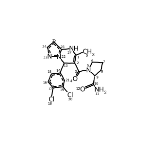 CC1=C(C(=O)N2CCC[C@H]2C(N)=O)C(c2ccc(Cl)c(Cl)c2)n2nccc2N1